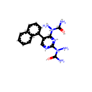 NC(=O)N(N)c1ncc(-c2cccc3ccccc23)c(N(N)C(N)=O)n1